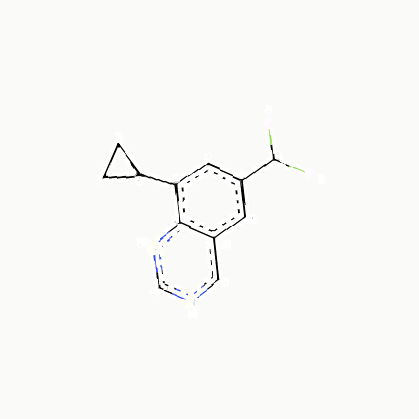 FC(F)c1cc(C2CC2)c2ncncc2c1